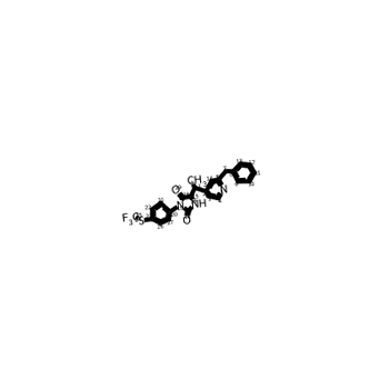 CC(c1ccnc(Cc2ccccc2)c1)C1NC(=O)N(c2ccc(SC(F)(F)F)cc2)C1=O